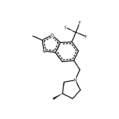 Cc1nc2cc(CN3CC[C@@H](C)C3)cc(C(F)(F)F)c2o1